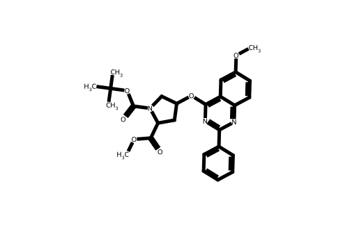 COC(=O)C1CC(Oc2nc(-c3ccccc3)nc3ccc(OC)cc23)CN1C(=O)OC(C)(C)C